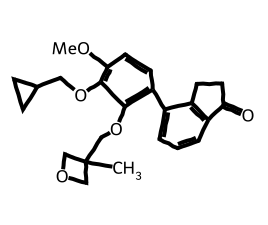 COc1ccc(-c2cccc3c2CCC3=O)c(OCC2(C)COC2)c1OCC1CC1